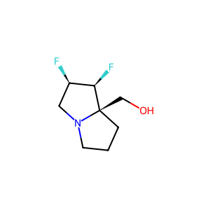 OC[C@@]12CCCN1C[C@@H](F)[C@H]2F